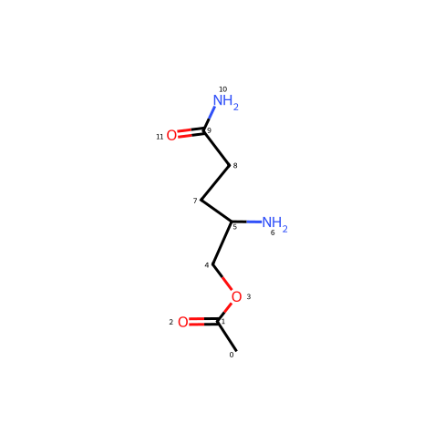 CC(=O)OCC(N)CCC(N)=O